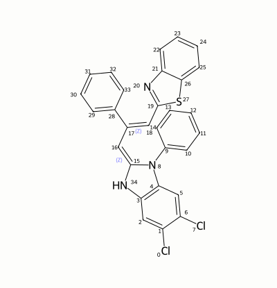 Clc1cc2c(cc1Cl)N(c1ccccc1)/C(=C\C(=C\c1nc3ccccc3s1)c1ccccc1)N2